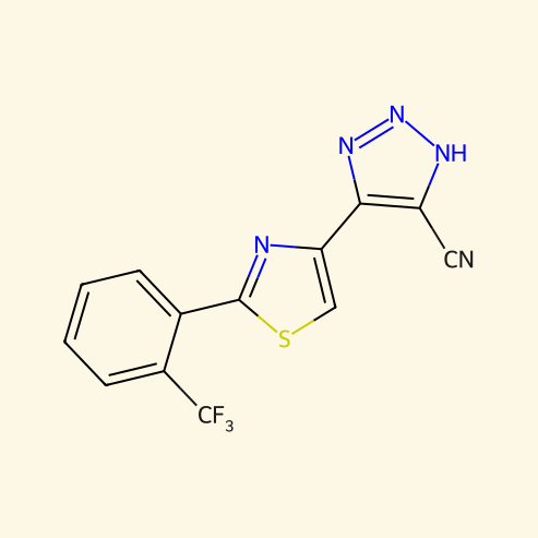 N#Cc1[nH]nnc1-c1csc(-c2ccccc2C(F)(F)F)n1